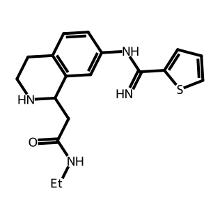 CCNC(=O)CC1NCCc2ccc(NC(=N)c3cccs3)cc21